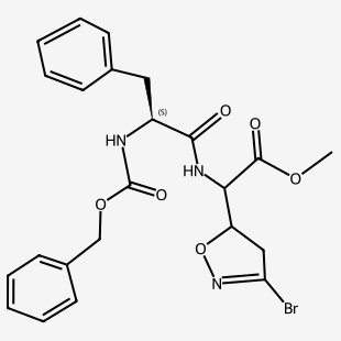 COC(=O)C(NC(=O)[C@H](Cc1ccccc1)NC(=O)OCc1ccccc1)C1CC(Br)=NO1